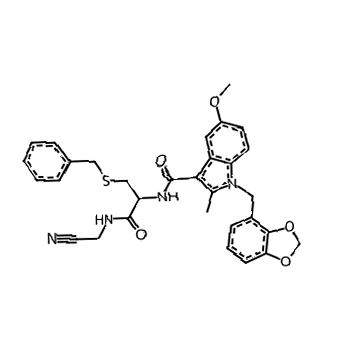 COc1ccc2c(c1)c(C(=O)NC(CSCc1ccccc1)C(=O)NCC#N)c(C)n2Cc1cccc2c1OCO2